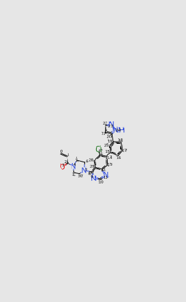 C=CC(=O)N1CCN(c2ncnc3cc(-c4cccc(-c5ccn[nH]5)c4)c(Cl)cc23)CC1